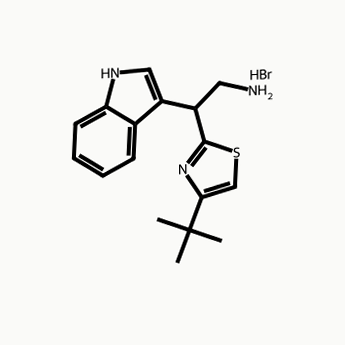 Br.CC(C)(C)c1csc(C(CN)c2c[nH]c3ccccc23)n1